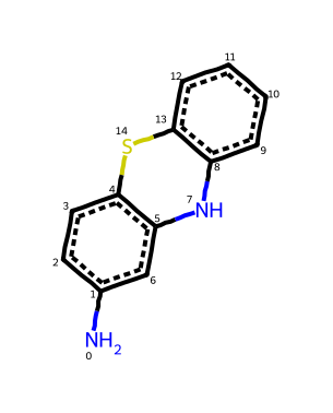 Nc1ccc2c(c1)Nc1ccccc1S2